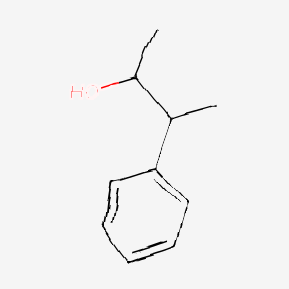 CC(O)C(C)c1ccccc1